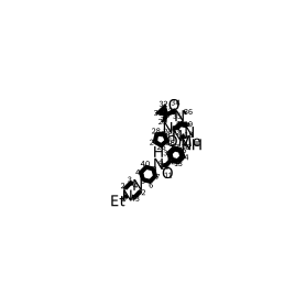 CCN1CCN(C2CCC(NC(=O)c3ccc(Nc4ncc5c(n4)N(C4CCCC4)CC4(CC4)C(=O)N5C)c(OC)c3)CC2)CC1